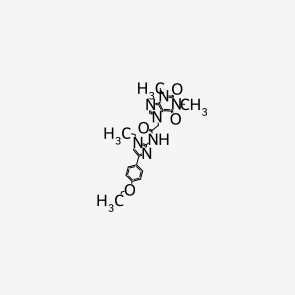 CCOc1ccc(-c2cn(CC)c(NC(=O)Cn3cnc4c3c(=O)n(C)c(=O)n4C)n2)cc1